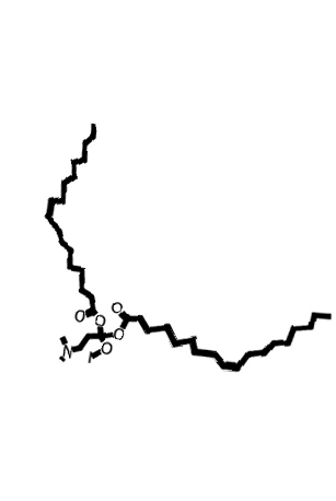 CCCCCCCC/C=C\CCCCCCCC(=O)OC(CCN(C)C)(OI)OC(=O)CCCCCCC/C=C\CCCCCCCC